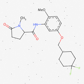 COc1ccc(OCC2CCC(F)(F)CC2)cc1NC(=O)C1CCC(=O)N1C